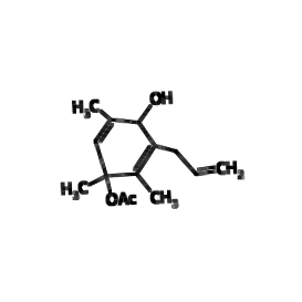 C=CCC1=C(C)C(C)(OC(C)=O)C=C(C)C1O